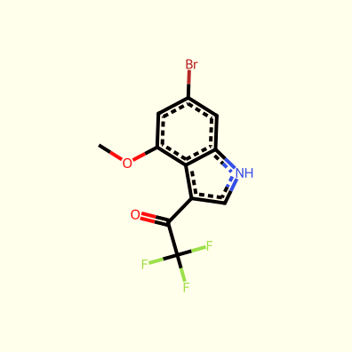 COc1cc(Br)cc2[nH]cc(C(=O)C(F)(F)F)c12